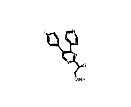 COCC(Cl)c1ncc(-c2ccc(F)cc2)c(-c2ccncc2)n1